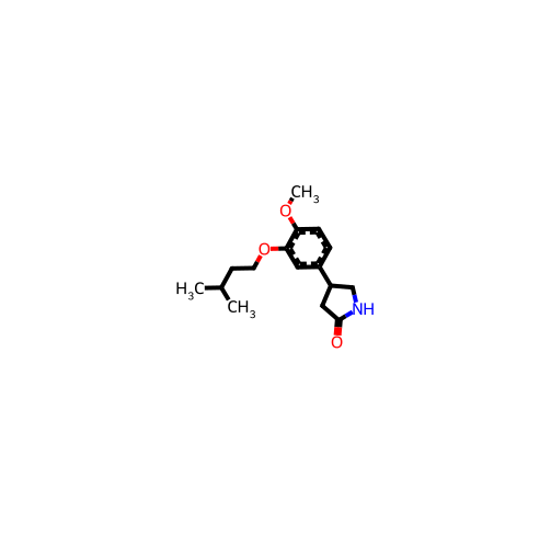 COc1ccc(C2CNC(=O)C2)cc1OCCC(C)C